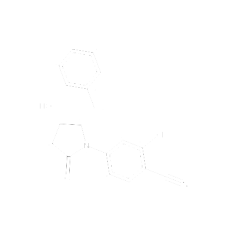 N#Cc1ccc(N2C(=O)C[C@H](O)[C@@H]2Cc2ccccc2)cc1Cl